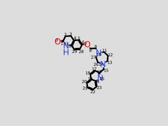 O=C1CCc2cc(OCCN3CCCN(Cc4ccc5ccccc5n4)CC3)ccc2N1